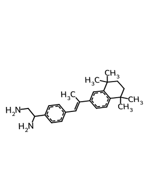 CC(=Cc1ccc(C(N)CN)cc1)c1ccc2c(c1)C(C)(C)CCC2(C)C